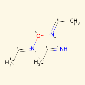 CC=N.CC=NON=CC